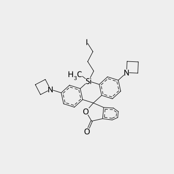 C[Si]1(CCCI)c2cc(N3CCC3)ccc2C2(OC(=O)c3ccccc32)c2ccc(N3CCC3)cc21